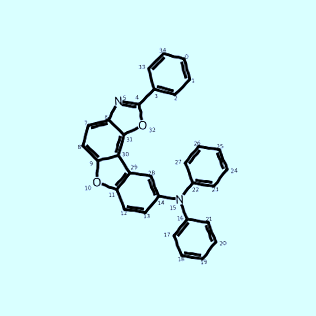 c1ccc(-c2nc3ccc4oc5ccc(N(c6ccccc6)c6ccccc6)cc5c4c3o2)cc1